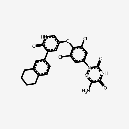 Nc1nn(-c2cc(Cl)c(Oc3c[nH]c(=O)c(-c4ccc5c(c4)CCCC5)c3)c(Cl)c2)c(=O)[nH]c1=O